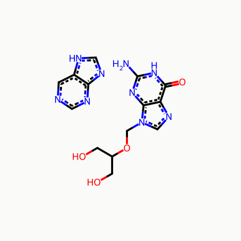 Nc1nc2c(ncn2COC(CO)CO)c(=O)[nH]1.c1ncc2[nH]cnc2n1